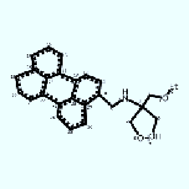 CCOCC(CO)(CO)NCc1ccc2c3cccc4cccc(c5cccc1c52)c43